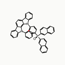 O=P(c1ccc(-n2c3ccccc3c3ccc4c5ccccc5n(-c5ccccc5)c4c32)cc1)(c1ccc2ccccc2c1)c1ccc2ccccc2c1